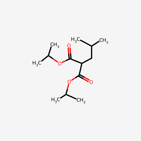 CC(C)CC(C(=O)OC(C)C)C(=O)OC(C)C